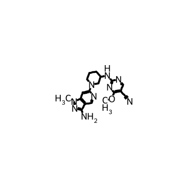 COc1nc(NC2CCCN(c3cc4c(cn3)c(N)nn4C)C2)ncc1C#N